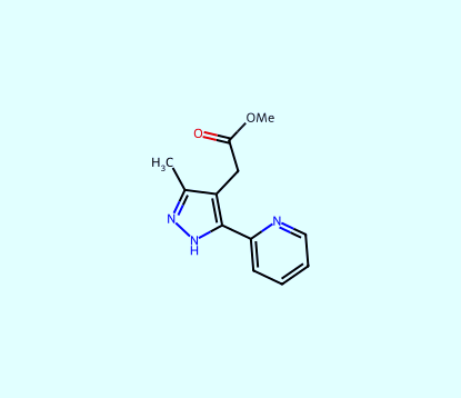 COC(=O)Cc1c(C)n[nH]c1-c1ccccn1